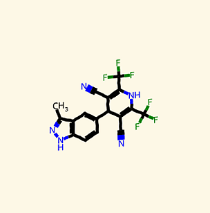 Cc1n[nH]c2ccc(C3C(C#N)=C(C(F)(F)F)NC(C(F)(F)F)=C3C#N)cc12